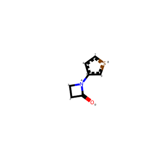 O=C1CCN1c1ccsc1